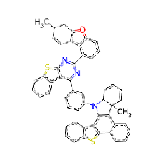 CC1C=Cc2c(oc3cccc(-c4nc(-c5cccc(N6c7c(c8ccccc8c8sc9ccccc9c78)C7(C)C=CC=CC67)c5)c5c(n4)sc4ccccc45)c23)C1